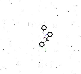 O=C(O)c1cccc(CN2C(=O)C3(CC3c3ccc(F)c(Cl)c3)c3ccccc32)c1